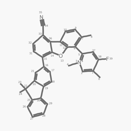 Cc1c[n+](C)c(-c2c(C)ccc3c2oc2c(-c4ccc5c(c4)C(C)(C)c4ccccc4-5)ccc(C#N)c23)cc1F